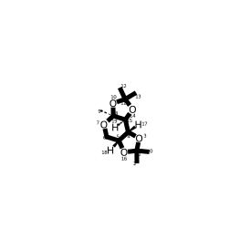 CC1(C)O[C@@H]2[C@@H](CO[C@@]3(C)OC(C)(C)O[C@@H]23)O1